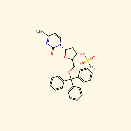 CC(=O)Nc1ccn([C@@H]2C[C@H](OS(=O)(=O)C(F)(F)F)[C@@H](COC(c3ccccc3)(c3ccccc3)c3ccccc3)O2)c(=O)n1